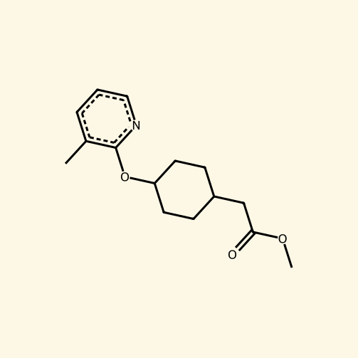 COC(=O)CC1CCC(Oc2ncccc2C)CC1